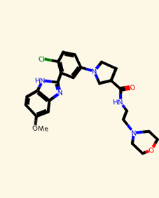 COc1ccc2[nH]c(-c3cc(N4CCC(C(=O)NCCN5CCOCC5)C4)ccc3Cl)nc2c1